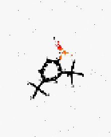 CC(C)(C)c1ccc([PH2]=O)c(C(C)(C)C)c1